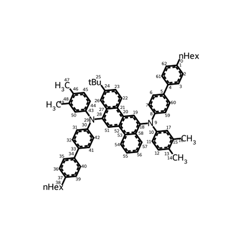 CCCCCCc1ccc(-c2ccc(N(c3ccc(C)c(C)c3)c3cc4c5ccc(C(C)(C)C)cc5c(N(c5ccc(-c6ccc(CCCCCC)cc6)cc5)c5ccc(C)c(C)c5)cc4c4ccccc34)cc2)cc1